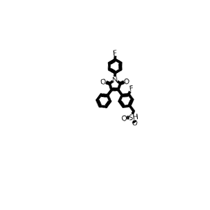 O=C1C(c2ccccc2)=C(c2ccc(C[SH](=O)=O)cc2F)C(=O)N1c1ccc(F)cc1